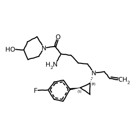 C=CCN(CCCC(N)C(=O)N1CCC(O)CC1)[C@@H]1C[C@H]1c1ccc(F)cc1